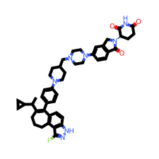 CC(C1=C(c2ccc(N3CCC(CN4CCN(c5ccc6c(c5)CN([C@H]5CCC(=O)NC5=O)C6=O)CC4)CC3)cc2)c2ccc3[nH]nc(F)c3c2CCC1)C1CC1